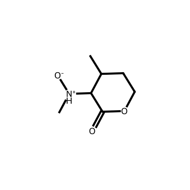 CC1CCOC(=O)C1[NH+](C)[O-]